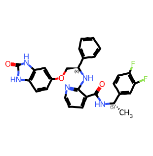 C[C@H](NC(=O)c1cccnc1N[C@@H](COc1ccc2[nH]c(=O)[nH]c2c1)c1ccccc1)c1ccc(F)c(F)c1